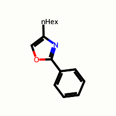 CCCCCCc1coc(-c2ccccc2)n1